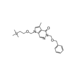 Cc1cn(COCC[Si](C)(C)C)c2cnn(COCc3ccccc3)c(=O)c12